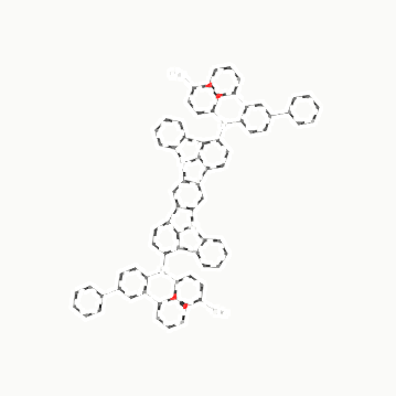 CC(C)(C)c1ccc(N(c2ccc(-c3ccccc3)cc2-c2ccccc2)c2ccc3c4cc5c(cc4n4c6ccccc6c2c34)c2ccc(N(c3ccc(C(C)(C)C)cc3)c3ccc(-c4ccccc4)cc3-c3ccccc3)c3c4ccccc4n5c23)cc1